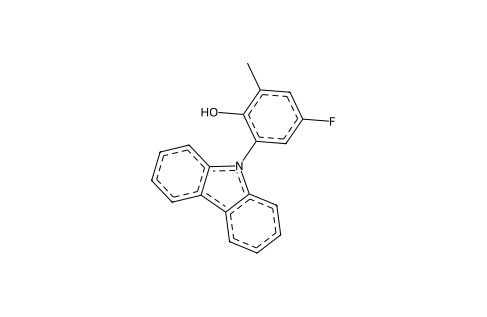 Cc1cc(F)cc(-n2c3ccccc3c3ccccc32)c1O